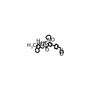 Cc1[nH]c(=O)c(CNC(=O)c2cc(-c3ccc(CN4CCOCC4)cc3)cc(N3CCCCCC3=O)c2C)c2c1CCCC2